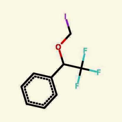 FC(F)(F)C(OCI)c1ccccc1